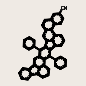 N#Cc1ccc2c(ccc3cc4c5c(-c6ccccc6)c6cc7c8ccccc8c8cccc(c6c(-c6ccccc6)c5c5cccc(c32)c45)c87)c1